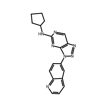 c1cnc2ccc(-n3nnc4cnc(NC5CCCC5)nc43)cc2c1